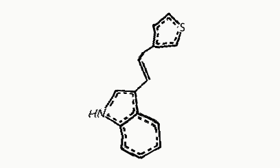 C(=C\c1c[nH]c2ccccc12)/c1ccsc1